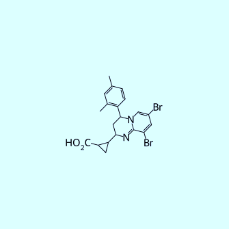 Cc1ccc(C2CC(C3CC3C(=O)O)N=C3C(Br)=CC(Br)=CN32)c(C)c1